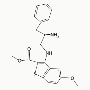 COC(=O)c1sc2ccc(OC)cc2c1NC[C@H](N)Cc1ccccc1